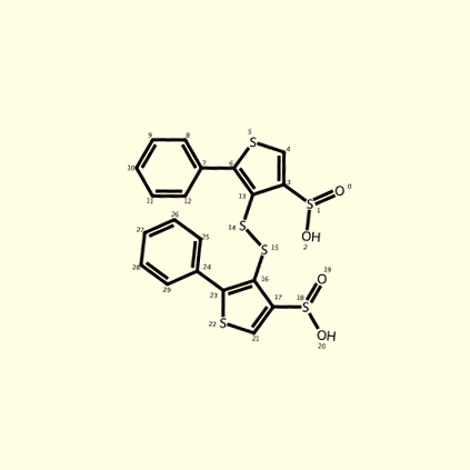 O=S(O)c1csc(-c2ccccc2)c1SSc1c(S(=O)O)csc1-c1ccccc1